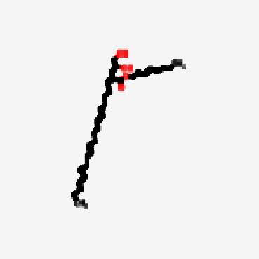 CCCCCCCCCCCCCCCCCCCCC(CC(O)CO)C(=O)OCCCCCCCC